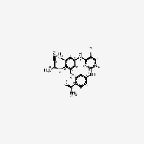 Cc1cc(Nc2nc(Nc3ccc(C(N)=O)cc3)ncc2F)cc(C)c1OC(C)C#N